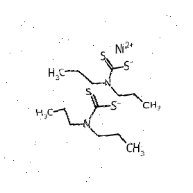 CCCN(CCC)C(=S)[S-].CCCN(CCC)C(=S)[S-].[Ni+2]